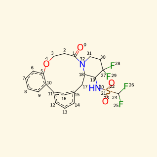 O=C1CCOc2ccccc2-c2cccc(c2)CC2C(NS(=O)(=O)C(F)F)C(F)(F)CCN12